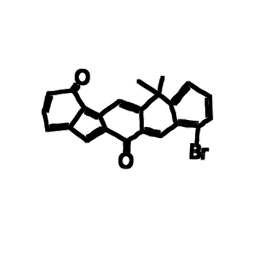 CC1(C)C2=CC3=C4C(=O)C=CC=C4C=C3C(=O)C2=Cc2c(Br)cccc21